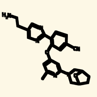 Cc1cc(Oc2cc(C#N)ccc2-c2ncc(CCN)cn2)cc(N2CC3CCC(C2)O3)n1